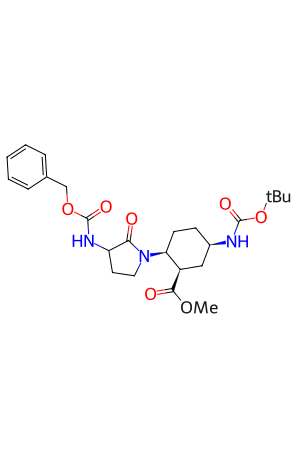 COC(=O)[C@@H]1C[C@H](NC(=O)OC(C)(C)C)CC[C@@H]1N1CCC(NC(=O)OCc2ccccc2)C1=O